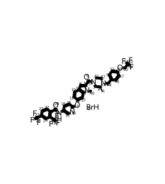 Br.C[C@H]1CN(C(=O)c2cc3ccc(Oc4ccc(NC(=O)c5ccc(C(F)(F)F)cc5C(F)(F)F)cn4)cc3n2C)CCN1Cc1ccc(OCC(F)(F)F)cc1